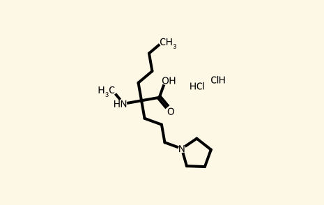 CCCCC(CCCN1CCCC1)(NC)C(=O)O.Cl.Cl